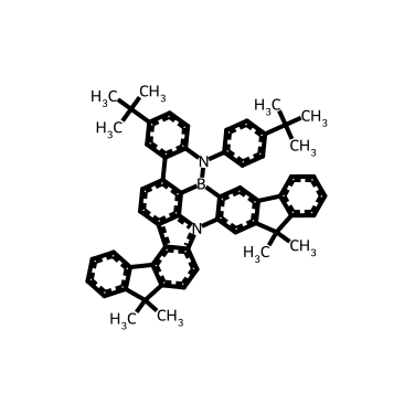 CC(C)(C)c1ccc(N2B3c4cc5c(cc4-n4c6ccc7c(c6c6ccc(c3c64)-c3cc(C(C)(C)C)ccc32)-c2ccccc2C7(C)C)C(C)(C)c2ccccc2-5)cc1